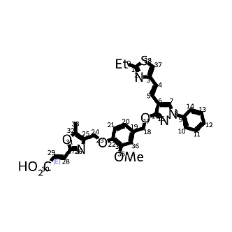 CCc1nc(C=Cc2cn(-c3ccccc3)nc2OCc2ccc(OCc3nc(/C=C/C(=O)O)oc3C)c(OC)c2)cs1